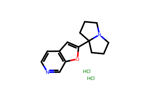 Cl.Cl.c1cc2cc(C34CCCN3CCC4)oc2cn1